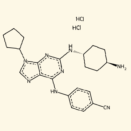 Cl.Cl.N#Cc1ccc(Nc2nc(N[C@H]3CC[C@H](N)CC3)nc3c2ncn3C2CCCC2)cc1